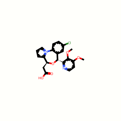 COc1ccnc([C@@H]2O[C@@H](CC(=O)O)c3cccn3-c3ccc(Cl)cc32)c1OC